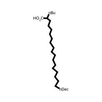 CCCCCCCCCCCCCCCCCCCCCCCCCCC(CCCC)C(=O)O